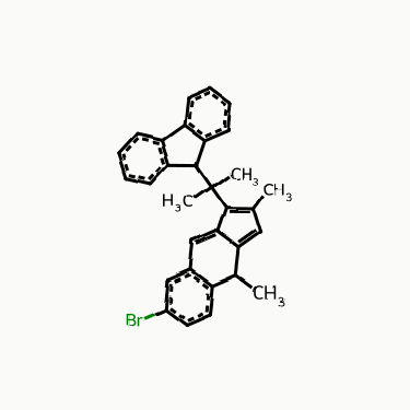 CC1=C(C(C)(C)C2c3ccccc3-c3ccccc32)C2=Cc3cc(Br)ccc3C(C)C2=C1